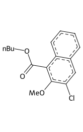 CCCCOC(=O)c1c(OC)c(Cl)cc2ccccc12